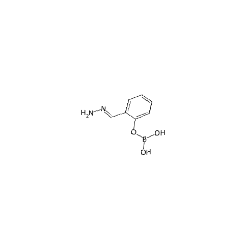 NN=Cc1ccccc1OB(O)O